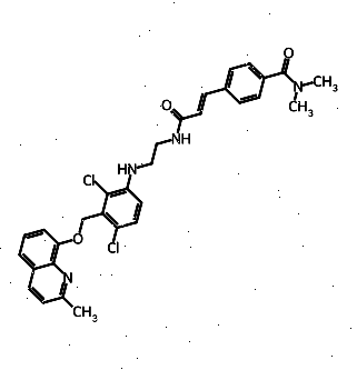 Cc1ccc2cccc(OCc3c(Cl)ccc(NCCNC(=O)C=Cc4ccc(C(=O)N(C)C)cc4)c3Cl)c2n1